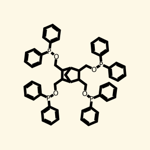 c1ccc(P(OCC2C(COP(c3ccccc3)c3ccccc3)C3CC2C(COP(c2ccccc2)c2ccccc2)C3COP(c2ccccc2)c2ccccc2)c2ccccc2)cc1